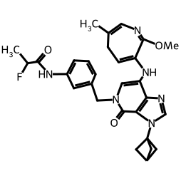 COC1=NC=C(C)CC=C1Nc1cn(Cc2cccc(NC(=O)C(C)F)c2)c(=O)c2c1ncn2C12CC(C1)C2